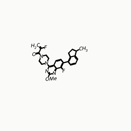 C=C(F)C(=O)N1CCN(c2nc(OC)nc3c(F)c(-c4cccc5c4CCC5C)ccc23)CC1